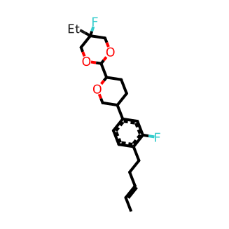 C/C=C/CCc1ccc(C2CCC(C3OCC(F)(CC)CO3)OC2)cc1F